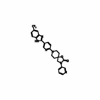 O=C1OC2(CCN(c3ccc(-c4nc5cc(C(F)(F)F)ccc5[nH]4)cn3)CC2)CN1c1cccnc1